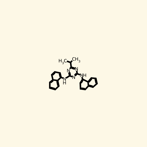 CC(C)c1nc(Nc2cccc3ccccc23)nc(Nc2cccc3ccccc23)n1